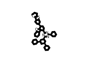 c1ccc(-c2cc(-c3ccccc3)cc(-c3nc(-c4ccccc4)nc(-c4ccc(-c5ccc6c(c5)sc5ccccc56)c5oc6ccccc6c45)n3)c2)cc1